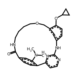 CN(C)c1cc2ccc1-c1ccnc(n1)Nc1ccc(OC3CC3)c(c1)COCCCCNC2=O